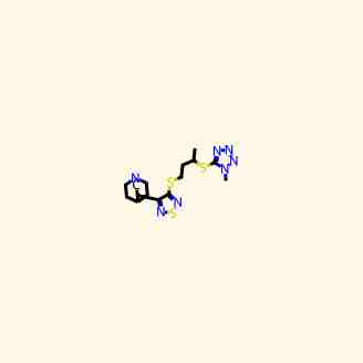 CC(CCSc1nsnc1C1CN2CCC1CC2)Sc1nnnn1C